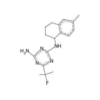 Cc1ccc2c(c1)CCCC2Nc1nc(N)nc(C(C)(C)F)n1